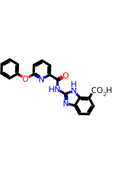 O=C(Nc1nc2cccc(C(=O)O)c2[nH]1)c1cccc(Oc2ccccc2)n1